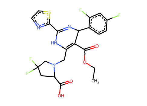 CCOC(=O)C1=C(CN2CC(F)(F)CC2C(=O)O)NC(c2nccs2)=NC1c1ccc(F)cc1F